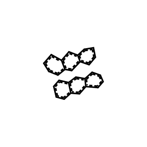 c1ccc2cc3ccccc3cc2c1.c1ccc2cc3ccccc3cc2c1